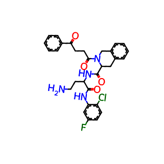 NCCC(NC(=O)C1Cc2ccccc2CN1C(=O)CCC(=O)c1ccccc1)C(=O)Nc1cc(F)ccc1Cl